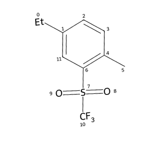 CCc1ccc(C)c(S(=O)(=O)C(F)(F)F)c1